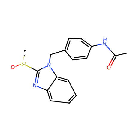 CC(=O)Nc1ccc(Cn2c([S@@+](C)[O-])nc3ccccc32)cc1